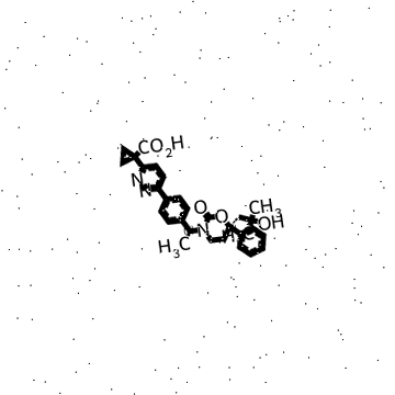 C[C@@H](c1ccc(-c2ccc(C3(C(=O)O)CC3)nn2)cc1)N1CC[C@](CC(C)(C)O)(c2ccccc2)OC1=O